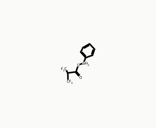 O=C(O[SiH2]c1ccccc1)C(C(F)(F)F)C(F)(F)F